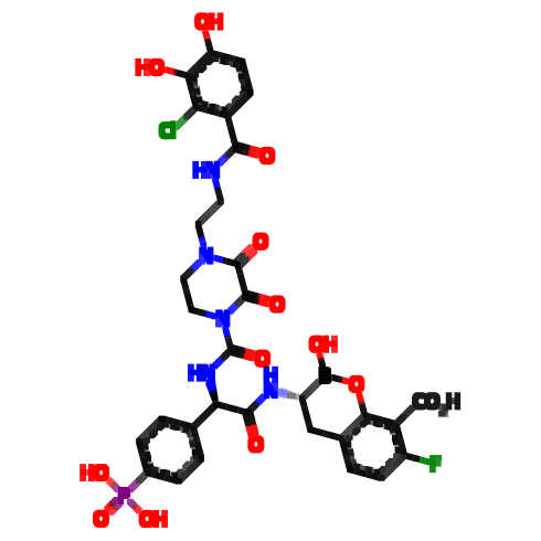 O=C(NCCN1CCN(C(=O)N[C@@H](C(=O)N[C@H]2Cc3ccc(F)c(C(=O)O)c3OB2O)c2ccc(P(=O)(O)O)cc2)C(=O)C1=O)c1ccc(O)c(O)c1Cl